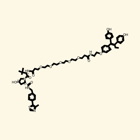 CCC(=C(c1ccc(O)cc1)c1ccc(OCCNC(=O)CCOCCOCCOCCOCCOCCC(=O)N[C@H](C(=O)N2C[C@H](O)C[C@H]2C(=O)NCc2ccc(-c3scnc3C)cc2)C(C)(C)C)cc1)c1ccc(O)cc1